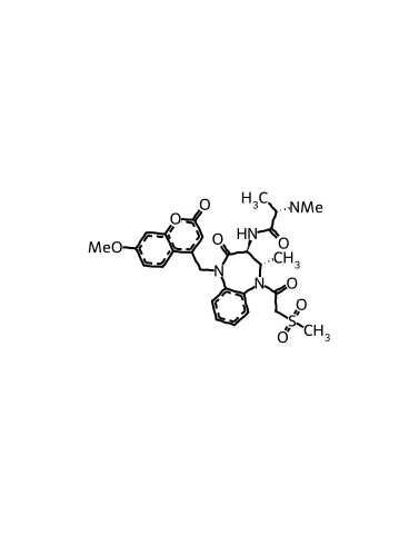 CN[C@@H](C)C(=O)N[C@@H]1C(=O)N(Cc2cc(=O)oc3cc(OC)ccc23)c2ccccc2N(C(=O)CS(C)(=O)=O)[C@H]1C